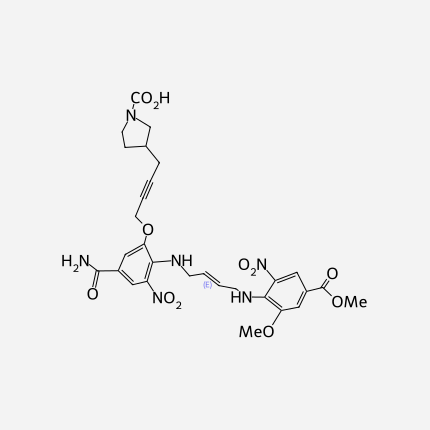 COC(=O)c1cc(OC)c(NC/C=C/CNc2c(OCC#CCC3CCN(C(=O)O)C3)cc(C(N)=O)cc2[N+](=O)[O-])c([N+](=O)[O-])c1